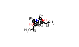 C=CCC(CC)CCc1cc(C(C)(C)C)cc(-c2ccc(C(C)C)cc2-c2cc(C(F)(F)F)cc(-c3cc(C(C)C)ccc3-c3cc(C(C)(C)C)cc(CCC(CC)CC=C)c3O)n2)c1O